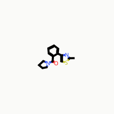 Cc1nc(-c2ccccc2C(=O)N2CCCC2)cs1